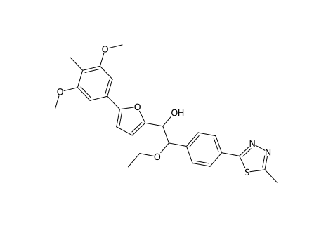 CCOC(c1ccc(-c2nnc(C)s2)cc1)C(O)c1ccc(-c2cc(OC)c(C)c(OC)c2)o1